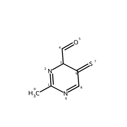 CC1=NC(C=O)C(=S)C=N1